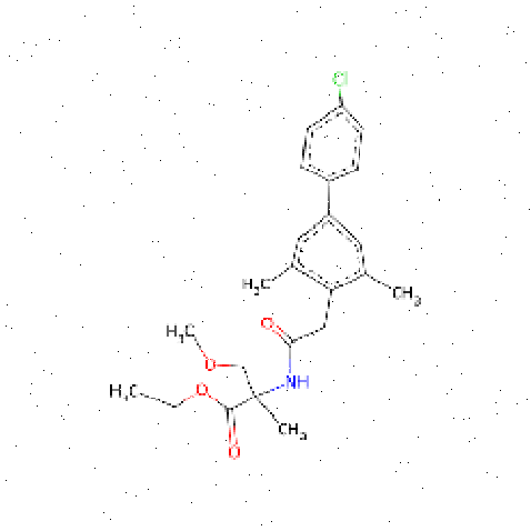 CCOC(=O)C(C)(COC)NC(=O)Cc1c(C)cc(-c2ccc(Cl)cc2)cc1C